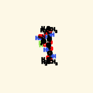 CC(C)(C)OC(=O)NCc1ccc(Oc2cc(Oc3ccc(C(=N)NO)cc3C(F)(F)F)cc(C(=O)NC3CCC(NC(=O)OC(C)(C)C)CC3)c2)cc1